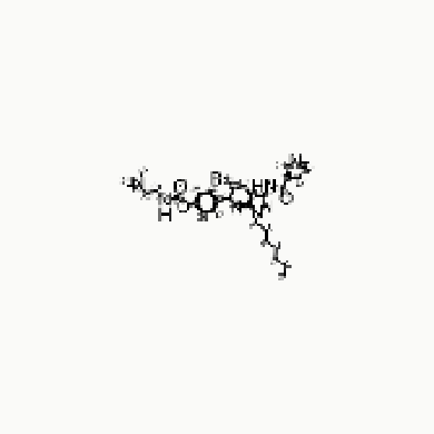 CCCCCCCn1nc(NC(=O)c2cnsc2)c2cc(Br)c(-c3ccc(OC(=O)NCCN(C)C)cc3)nc21